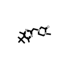 Cc1nc(CN2CCN(C)C(=O)C2)nc(C)c1C(C)(C)C